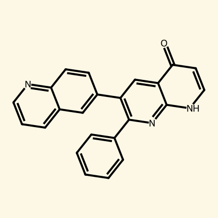 O=c1cc[nH]c2nc(-c3ccccc3)c(-c3ccc4ncccc4c3)cc12